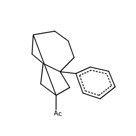 CC(=O)C12CC3CC1CCCC3(c1ccccc1)C2